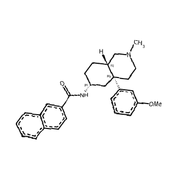 COc1cccc([C@@]23CCN(C)C[C@H]2CC[C@@H](NC(=O)c2ccc4ccccc4c2)C3)c1